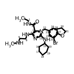 CCNC(=O)c1c(NCCNC)nc(NC2CCCCC2)n1Cc1cc(Br)c2c(c1)CCO2